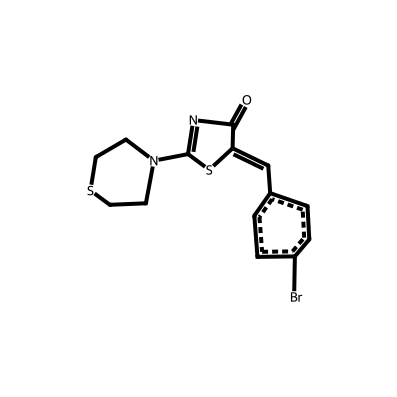 O=C1N=C(N2CCSCC2)SC1=Cc1ccc(Br)cc1